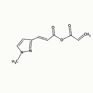 C=CC(=O)OC(=O)/C=C/c1ccn(C)n1